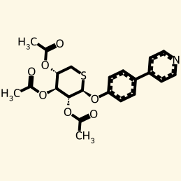 CC(=O)O[C@@H]1[C@@H](OC(C)=O)[C@H](OC(C)=O)CS[C@H]1Oc1ccc(-c2ccncc2)cc1